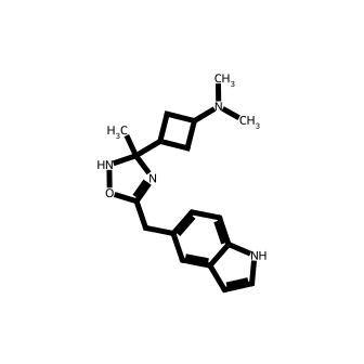 CN(C)C1CC(C2(C)N=C(Cc3ccc4[nH]ccc4c3)ON2)C1